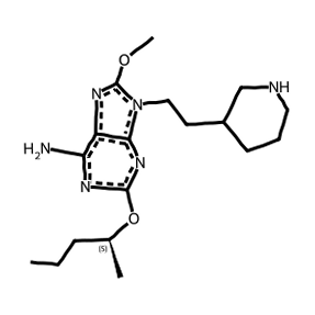 CCC[C@H](C)Oc1nc(N)c2nc(OC)n(CCC3CCCNC3)c2n1